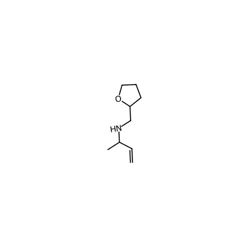 C=CC(C)NCC1CCCO1